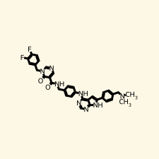 CN(C)Cc1ccc(-c2cc3c(Nc4ccc(CNC(=O)c5cncn(Cc6ccc(F)c(F)c6)c5=O)cc4)ncnc3[nH]2)cc1